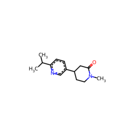 CC(C)c1ccc(C2CCN(C)C(=O)C2)cn1